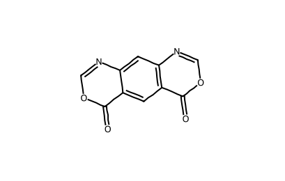 O=c1ocnc2cc3ncoc(=O)c3cc12